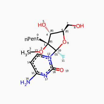 CCCCC[C@@]1(O[SiH3])[C@H](O)[C@@H](CO)O[C@@]1(F)n1ccc(N)nc1=O